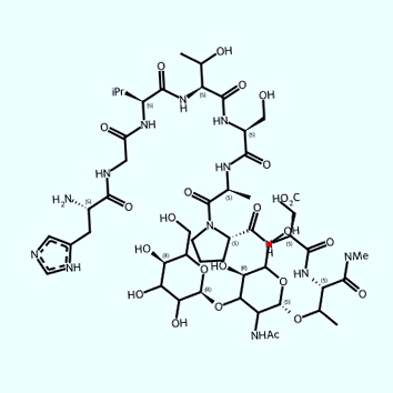 CNC(=O)[C@@H](NC(=O)[C@H](CC(=O)O)NC(=O)[C@@H]1CCCN1C(=O)[C@H](C)NC(=O)[C@H](CO)NC(=O)[C@@H](NC(=O)[C@@H](NC(=O)CNC(=O)[C@@H](N)Cc1cnc[nH]1)C(C)C)C(C)O)C(C)O[C@H]1OC(CO)[C@H](O)C(O[C@@H]2OC(CO)[C@H](O)C(O)C2O)C1NC(C)=O